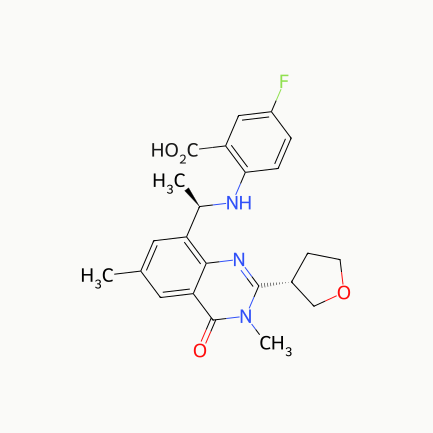 Cc1cc([C@@H](C)Nc2ccc(F)cc2C(=O)O)c2nc([C@@H]3CCOC3)n(C)c(=O)c2c1